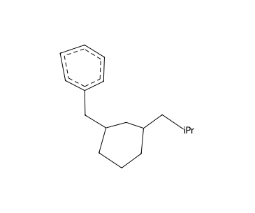 CC(C)CC1CCCC(Cc2ccccc2)C1